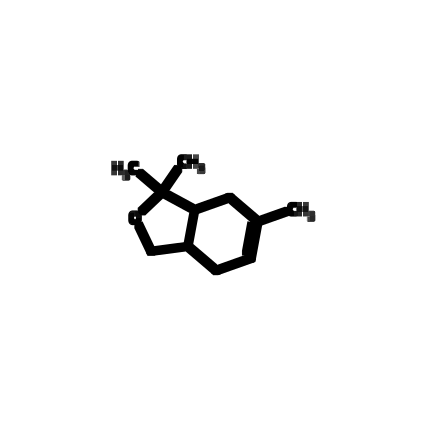 CC1=CCC2COC(C)(C)C2C1